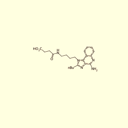 CCCCc1nc2c(N)nc3ccccc3c2n1CCCCNC(=O)CCC(=O)O